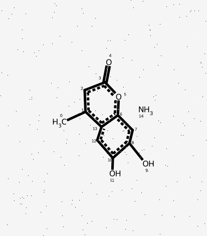 Cc1cc(=O)oc2cc(O)c(O)cc12.N